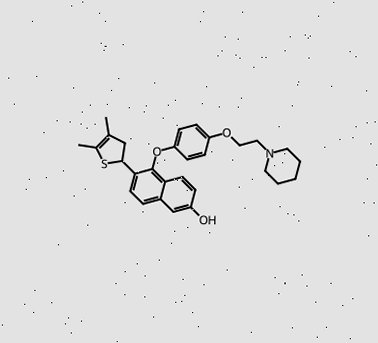 CC1=C(C)SC(c2ccc3cc(O)ccc3c2Oc2ccc(OCCN3CCCCC3)cc2)C1